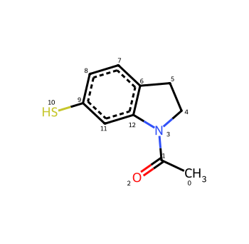 CC(=O)N1CCc2ccc(S)cc21